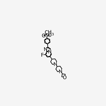 CS(=O)(=O)c1ccc(-c2cn3cc(C4CCN(C5CCN(C6COC6)CC5)CC4)cc(F)c3n2)cc1